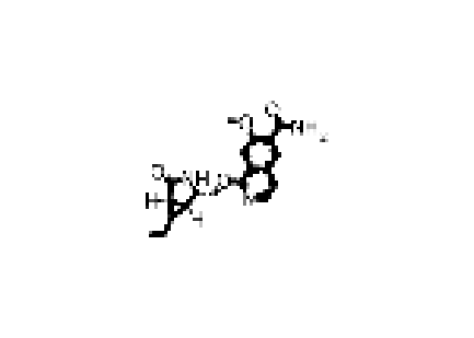 CCC1[C@H]2[C@@H]1C(=O)N[C@@H]2COc1nccc2cc(C(N)=O)c(OC)cc12